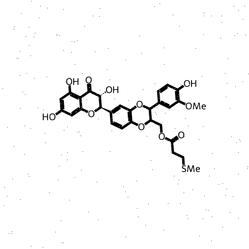 COc1cc(C2Oc3cc([C@H]4Oc5cc(O)cc(O)c5C(=O)[C@@H]4O)ccc3OC2COC(=O)CCSC)ccc1O